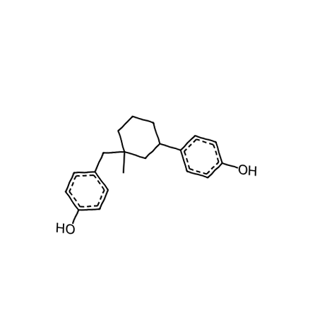 CC1(Cc2ccc(O)cc2)CCCC(c2ccc(O)cc2)C1